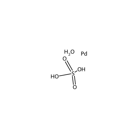 O.O=S(=O)(O)O.[Pd]